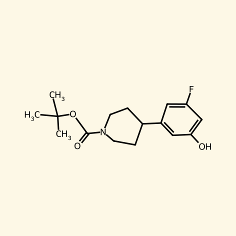 CC(C)(C)OC(=O)N1CCC(c2cc(O)cc(F)c2)CC1